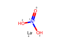 O=[N+](O)O.[La]